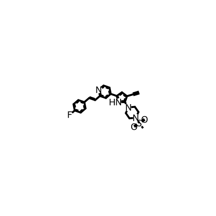 C#Cc1cc(-c2ccnc(/C=C/c3ccc(F)cc3)c2)[nH]c1N1CCN(S(C)(=O)=O)CC1